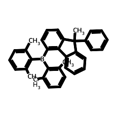 Cc1cccc(C)c1B(c1cccc2c1-c1ccccc1C2(C)c1ccccc1)c1c(C)cccc1C